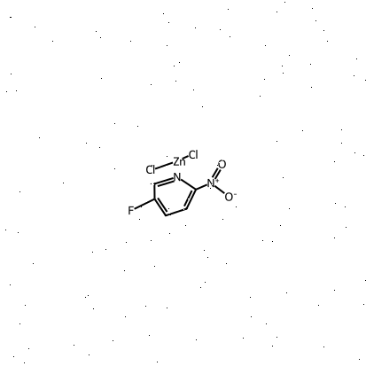 O=[N+]([O-])c1ccc(F)[c]n1.[Cl][Zn][Cl]